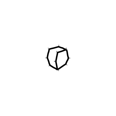 C1CCC2CC[C](C1)CC2